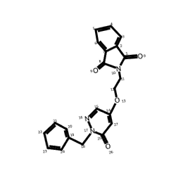 O=C1c2ccccc2C(=O)N1CCOc1cnn(Cc2ccccc2)c(=O)c1